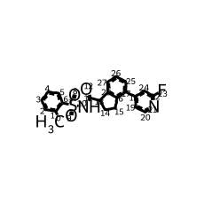 Cc1ccccc1S(=O)(=O)NC(=O)C1CCc2c(-c3ccnc(F)c3)cccc21